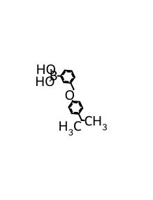 CC(C)c1ccc(OCc2cccc(B(O)O)c2)cc1